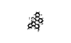 Cc1ccc2c(C)c(/C(=C(\O)c3ccccc3)c3ccccc3)c3ccc(C)cc3c2c1